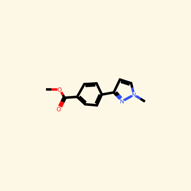 COC(=O)c1ccc(-c2ccn(C)n2)cc1